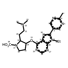 CCn1c(-c2cnc(C)nc2)nc2c(OC3CCN(C(=O)O)C3CCN(C)C)ncnc21